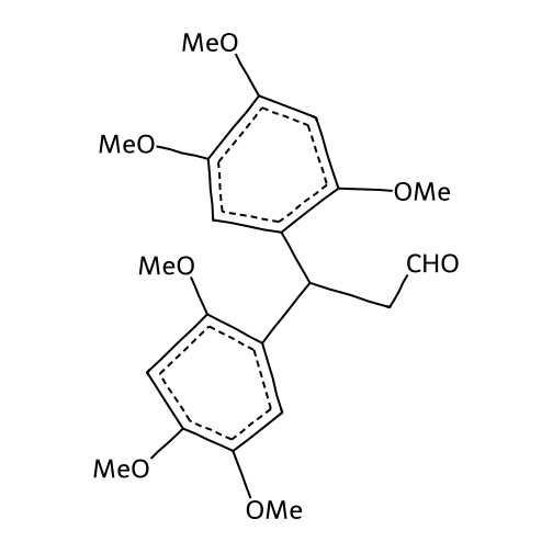 COc1cc(OC)c(C(CC=O)c2cc(OC)c(OC)cc2OC)cc1OC